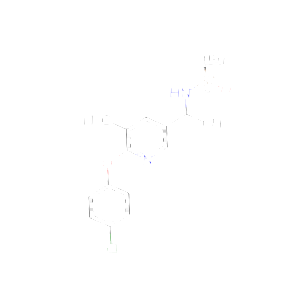 Cc1cc(C(C)N[S@+]([O-])C(C)(C)C)cnc1Oc1ccc(Cl)cc1